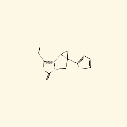 CCOC(=O)Cc1[nH]c(=S)n2c1C1CC1(c1cccs1)C2